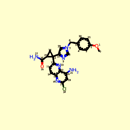 COc1ccc(Cn2cnc(C3(c4ccc5nc(Cl)cc(N)c5n4)CC3C(N)=O)c2)cc1